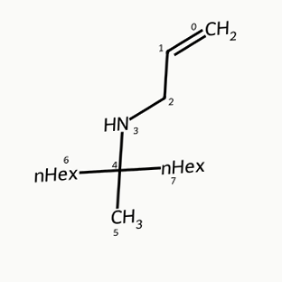 C=CCNC(C)(CCCCCC)CCCCCC